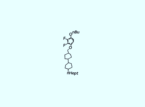 CCCCCCCC1CCC(C2CCC(COc3ccc(OCCCC)c(F)c3F)CC2)CC1